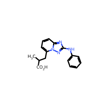 CC(Cc1cccc2nc(Nc3ccccc3)nn12)C(=O)O